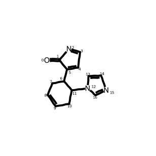 O=C1N=CC=C1C1CC=CCC1n1ccnc1